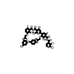 O=C(NC(=O)c1c(F)cc(-c2cc(Cl)c(C(=O)NC(=O)c3c(F)ccc(OCc4nc5cc(Cl)ccc5s4)c3F)c(Cl)n2)c(OCc2nc3cc(Cl)ccc3s2)c1F)c1ccnc(Cl)c1Cl